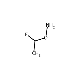 CC(F)ON